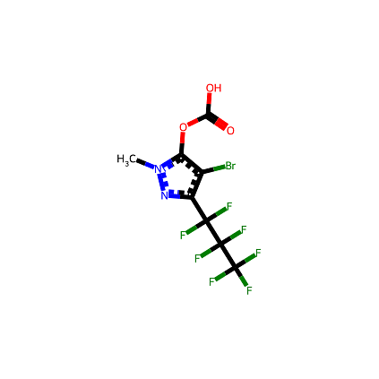 Cn1nc(C(F)(F)C(F)(F)C(F)(F)F)c(Br)c1OC(=O)O